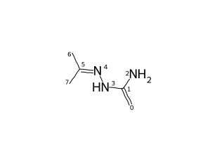 C=C(N)NN=C(C)C